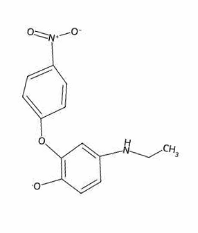 CCNc1ccc([O])c(Oc2ccc([N+](=O)[O-])cc2)c1